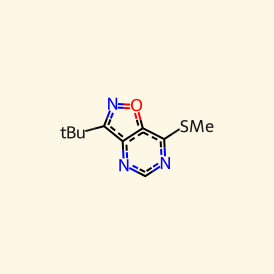 CSc1ncnc2c(C(C)(C)C)noc12